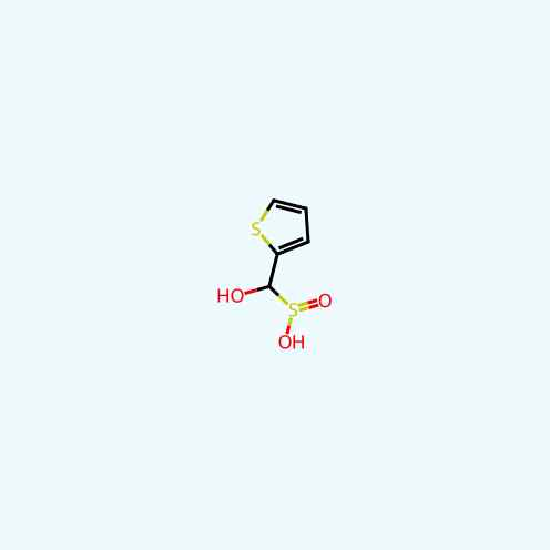 O=S(O)C(O)c1cccs1